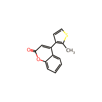 Cc1sccc1-c1cc(=O)oc2ccccc12